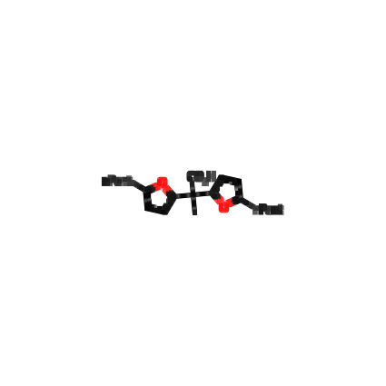 CCCCCc1ccc(C(C)(C(=O)O)c2ccc(CCCCC)o2)o1